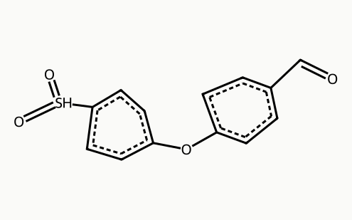 O=Cc1ccc(Oc2ccc([SH](=O)=O)cc2)cc1